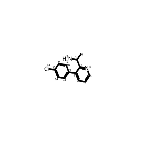 CC(N)c1ncccc1-c1ccc(Cl)cc1